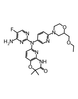 CCOCC1CN(c2ccc(N(c3ccc4c(n3)NC(=O)C(C)(C)O4)c3ncc(F)c(N)n3)cn2)CCO1